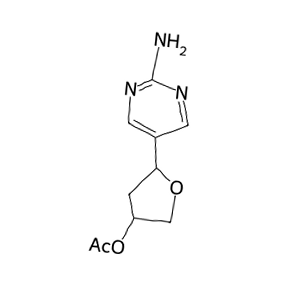 CC(=O)OC1COC(c2cnc(N)nc2)C1